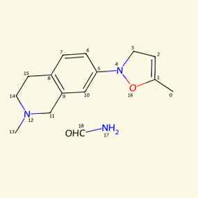 CC1=CCN(c2ccc3c(c2)CN(C)CC3)O1.NC=O